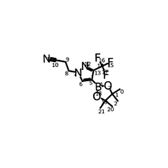 CC1(C)OB(c2cn(CCC#N)nc2C(F)(F)F)OC1(C)C